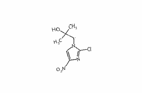 CC(C)(O)[CH]n1cc([N+](=O)[O-])nc1Cl